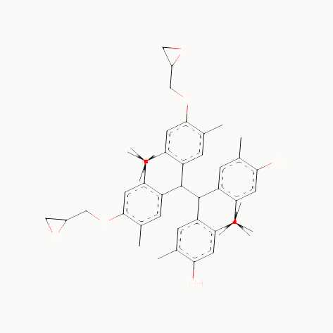 Cc1cc(C(c2cc(C)c(O)cc2C(C)C)C(c2cc(C)c(OCC3CO3)cc2C(C)C)c2cc(C)c(OCC3CO3)cc2C(C)C)c(C(C)C)cc1O